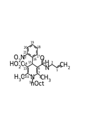 C=CCNC(=O)C1=C(C)N(CCCCCCCC)C(C)=C(C(=O)O)C1c1ccccc1[N+](=O)[O-]